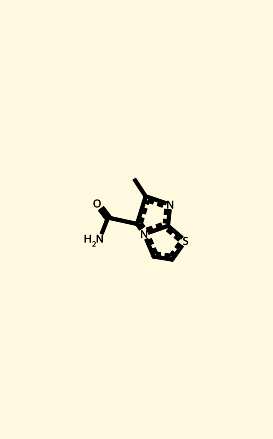 Cc1nc2sccn2c1C(N)=O